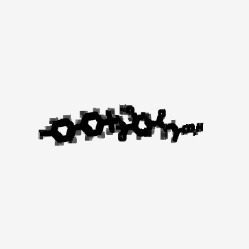 C[C@@H](CNC(=O)c1ncc(C(=O)NC(C)(C)c2ccc(-c3ccc(F)cc3)cc2)c(O)n1)C(=O)O